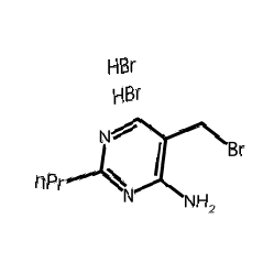 Br.Br.CCCc1ncc(CBr)c(N)n1